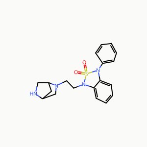 O=S1(=O)N(CCN2CC3CC2CN3)c2ccccc2N1c1ccccc1